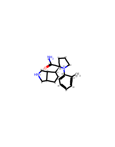 NC(=O)[C@]1(C2CCC3CNCC32)CCCN1c1ccccc1C(F)(F)F